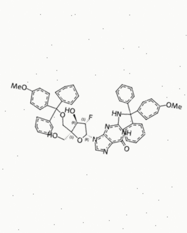 COc1ccc(C(Nc2nc3c(ncn3[C@@H]3O[C@@](CO)(COC(c4ccccc4)(c4ccccc4)c4ccc(OC)cc4)[C@@H](O)[C@@H]3F)c(=O)[nH]2)(c2ccccc2)c2ccccc2)cc1